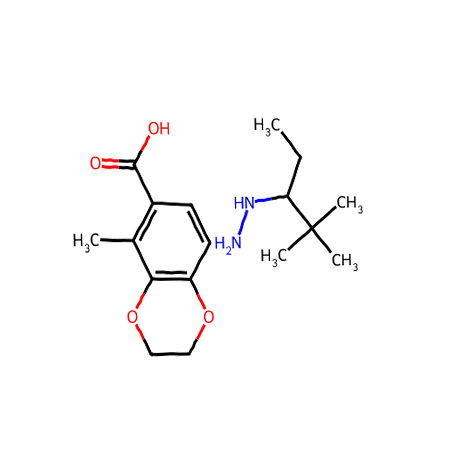 CCC(NN)C(C)(C)C.Cc1c(C(=O)O)ccc2c1OCCO2